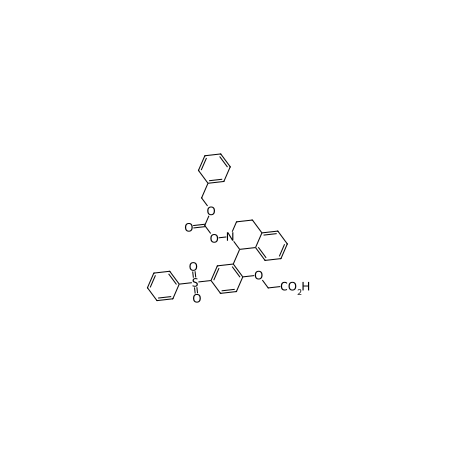 O=C(O)COc1ccc(S(=O)(=O)c2ccccc2)cc1C1c2ccccc2CCN1OC(=O)OCc1ccccc1